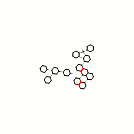 CC1(c2ccccc2)c2ccccc2-c2c(-c3ccc(N(c4ccc(-c5ccc(-c6ccccc6)c(-c6ccccc6)c5)cc4)c4ccccc4-c4cccc5cccc(-c6ccccc6)c45)cc3)cccc21